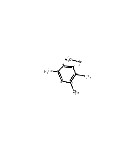 CC(C)=O.Cc1ccc(C)c(C)c1